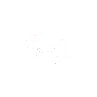 c1ccc(-c2cccc3oc4cccc(N(c5ccccc5)c5ccc(S(c6ccccc6)(c6ccccc6)c6ccccc6)cc5)c4c23)cc1